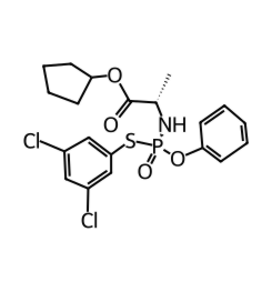 C[C@H](N[P@@](=O)(Oc1ccccc1)Sc1cc(Cl)cc(Cl)c1)C(=O)OC1CCCC1